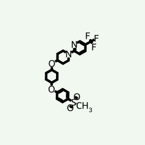 CS(=O)(=O)c1ccc(OC2CCC(OC3CCN(c4ccc(C(F)(F)F)cn4)CC3)CC2)cc1